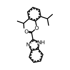 CC(C)c1cccc(C(C)C)c1OC(=O)c1nc2ccccc2[nH]1